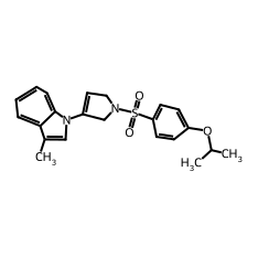 Cc1cn(C2=CCN(S(=O)(=O)c3ccc(OC(C)C)cc3)C2)c2ccccc12